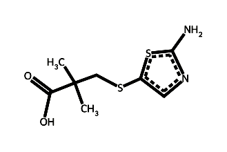 CC(C)(CSc1cnc(N)s1)C(=O)O